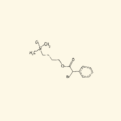 C[Si](C)(Cl)CCCCOC(=O)C(Br)c1ccccc1